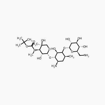 C[C@H]1C[C@@H](N)[C@H](O[C@H]2OC[C@](C)(O)[C@H](N(C)C(=O)OC(C)(C)C)[C@H]2O)[C@@H](O)C1O[C@H]1O[C@H](CN)[C@@H](O)[C@H](O)[C@H]1O